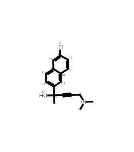 CN(C)CC#CC(C)(O)c1ccc2cc(Cl)ccc2c1